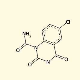 NC(=O)N1C(=O)[N]C(=O)c2cc(Cl)ccc21